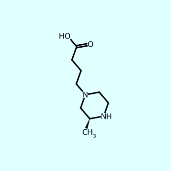 C[C@H]1CN(CCCC(=O)O)CCN1